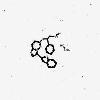 CC(C)NCC(Oc1ccc2ncc(-c3cc4ccccc4o3)n2n1)c1ccccc1.O=CO